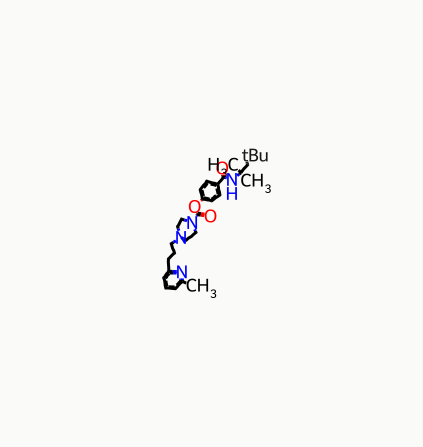 Cc1cccc(CCCN2CCN(C(=O)Oc3ccc(C(=O)NC(C)(C)CC(C)(C)C)cc3)CC2)n1